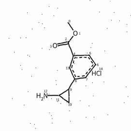 COC(=O)c1cccc(C2CC2N)c1.Cl